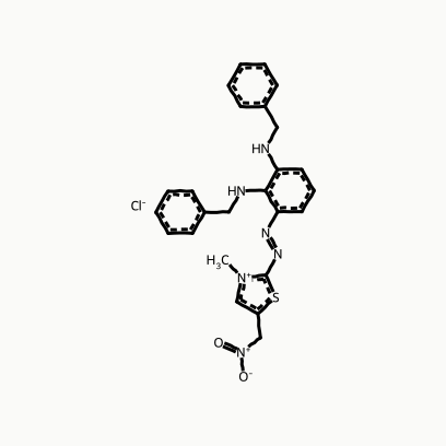 C[n+]1cc(C[N+](=O)[O-])sc1N=Nc1cccc(NCc2ccccc2)c1NCc1ccccc1.[Cl-]